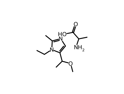 CC(N)C(=O)O.CCn1c(C(C)OC)cnc1C